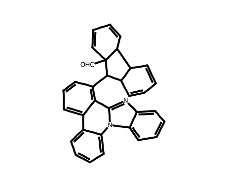 O=CC12C=CC=CC1C1C=CC=CC1C2c1cccc2c3ccccc3n3c4ccccc4nc3c12